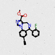 C#Cc1ccc2c(c1)C(c1ccccc1F)=NCc1c(C(=O)OC)ncn1-2